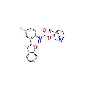 O=C(Nc1ccc(F)cc1-c1cc2ccccc2o1)O[C@H]1CN2CCC1CC2